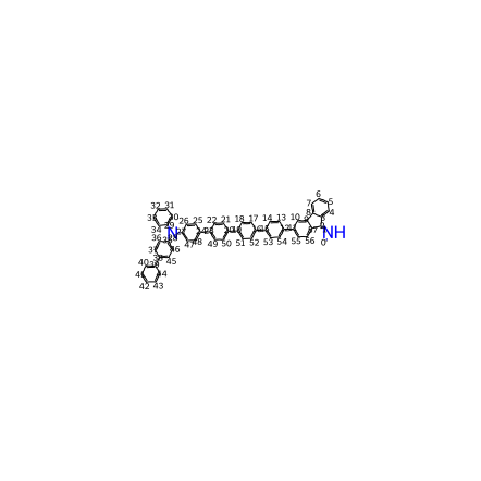 CNC1c2ccccc2-c2cc(-c3ccc(-c4ccc(-c5ccc(-c6ccc(N(c7ccccc7)c7ccc(-c8ccccc8)cc7)cc6)cc5)cc4)cc3)ccc21